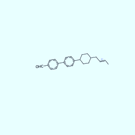 C/C=C/CC1CCC(c2ccc(-c3ccc(C=O)cc3)cc2)CC1